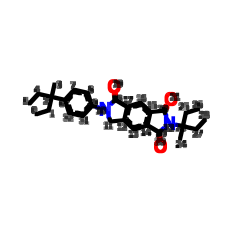 CCC(C)(CC)c1ccc(N2Cc3cc4c(cc3C2=O)C(=O)N(C(C)(CC)CC)C4=O)cc1